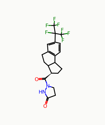 O=C1CCN(C(=O)[C@@H]2CCC3c4ccc(C(F)(C(F)(F)F)C(F)(F)F)cc4CCC32)N1